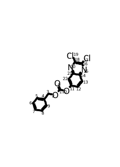 O=C(OCc1ccccc1)Oc1ccc2nc(Cl)c(Cl)nc2c1